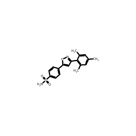 Cc1cc(C)c(-c2cc(-c3ccc(S(N)(=O)=O)cc3)on2)c(C)c1